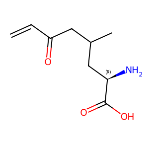 C=CC(=O)CC(C)C[C@@H](N)C(=O)O